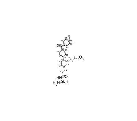 COCCCOc1cc(CCC(=O)NC(=N)N)ccc1-c1ccc(C(=O)N2CCC(C)(C)CC2)cc1